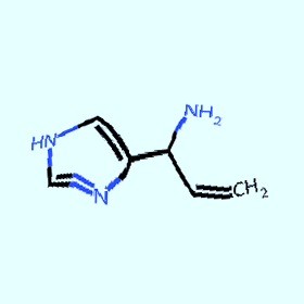 C=C[C](N)c1c[nH]cn1